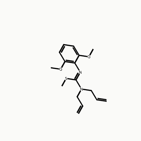 C=CCN(CC=C)C(=Nc1c(OC)cccc1OC)SC